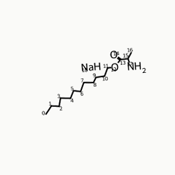 CCCCCCCCCCCCOC(=O)C(C)N.[NaH]